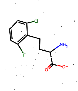 NC(CCc1c(F)cccc1Cl)C(=O)O